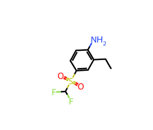 CCc1cc(S(=O)(=O)C(F)F)ccc1N